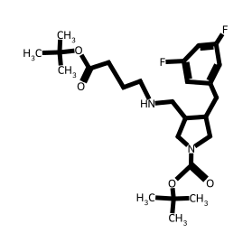 CC(C)(C)OC(=O)CCCNCC1CN(C(=O)OC(C)(C)C)CC1Cc1cc(F)cc(F)c1